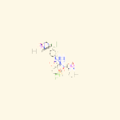 CCc1nocc1C(=O)NC(C(=O)Nc1ccc(-c2c(Cl)cc[n+]([O-])c2C)cc1)C1CCCC(F)(F)C1